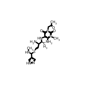 CNC(SC=CC(N)[C@H](C)Nc1c(N)n(C)c(=O)n(CC(C)=O)c1=O)c1cn[nH]c1